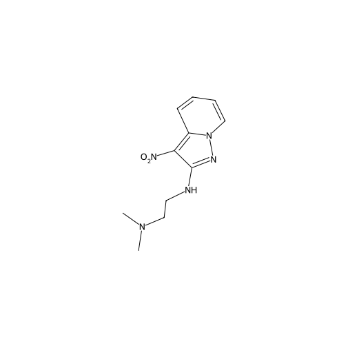 CN(C)CCNc1nn2ccccc2c1[N+](=O)[O-]